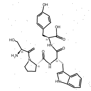 C=C([C@@H](N)CO)N1CCC[C@H]1C(=O)N[C@@H](Cc1c[nH]c2ccccc12)C(=O)N[C@@H](Cc1ccc(O)cc1)C(=O)O